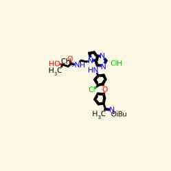 CC(=NOCC(C)C)c1cccc(Oc2ccc(Nc3ncnc4ccn(CCNC(=O)CC(C)(C)O)c34)cc2Cl)c1.Cl